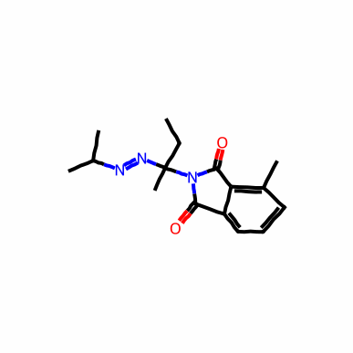 CCC(C)(N=NC(C)C)N1C(=O)c2cccc(C)c2C1=O